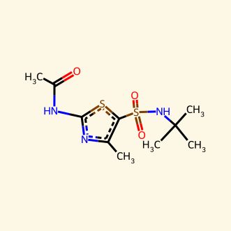 CC(=O)Nc1nc(C)c(S(=O)(=O)NC(C)(C)C)s1